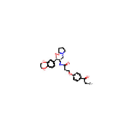 CC(C)CC(=O)c1ccc(OCCC(=O)N[C@H](CN2CCCC2)[C@H](O)c2ccc3c(c2)OCCO3)cc1